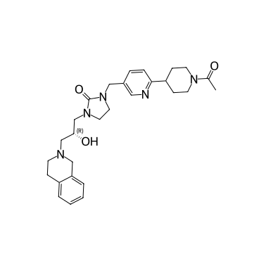 CC(=O)N1CCC(c2ccc(CN3CCN(C[C@H](O)CN4CCc5ccccc5C4)C3=O)cn2)CC1